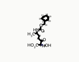 CC(CCC(=O)/C(=N\O)C(=O)O)NC(=O)OCc1ccccc1